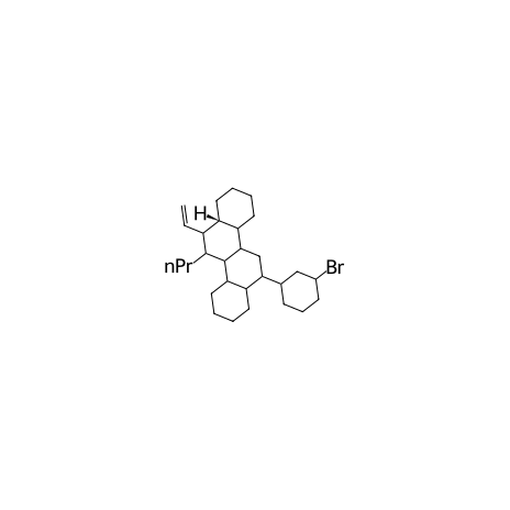 C=CC1C(CCC)C2C3CCCCC3C(C3CCCC(Br)C3)CC2C2CCCC[C@@H]12